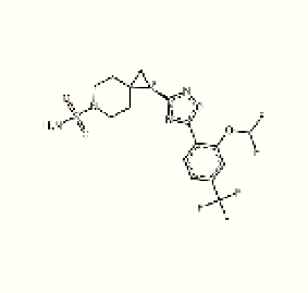 NS(=O)(=O)N1CCC2(CC1)C[C@H]2c1noc(-c2ccc(C(F)(F)F)cc2OC(F)F)n1